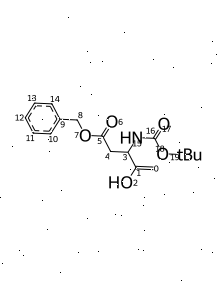 C=C(O)C(CC(=O)OCc1ccccc1)NC(=O)OC(C)(C)C